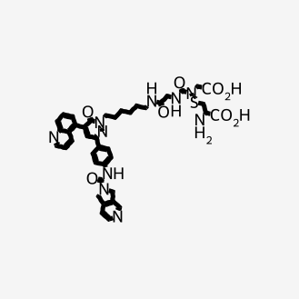 NC(CSN(CC(=O)O)C(=O)NCC(=O)NCCCCCCn1nc(-c2ccc(NC(=O)N3Cc4ccncc4C3)cc2)cc(-c2cccc3ncccc23)c1=O)C(=O)O